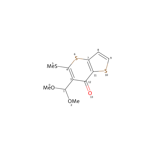 COC(OC)c1c(SC)sc2ccsc2c1=O